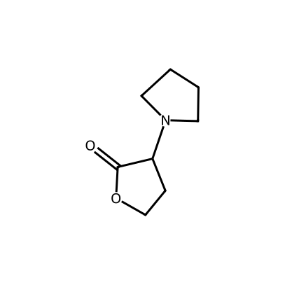 O=C1OCCC1N1CCCC1